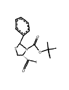 CC(C)(C)OC(=O)N1C(c2ccccc2)SC[C@H]1C(=O)I